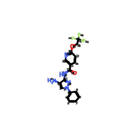 Nc1cn(-c2ccccc2)nc1NC(=O)c1ccc(OCC(F)(F)F)nc1